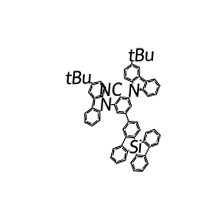 CC(C)(C)c1ccc2c(c1)c1ccccc1n2-c1cc(-c2ccc3c(c2)-c2ccccc2[Si]32c3ccccc3-c3ccccc32)cc(-n2c3ccccc3c3cc(C(C)(C)C)ccc32)c1C#N